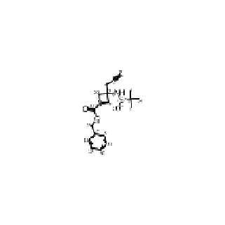 C#CCC1(N[S+]([O-])C(C)(C)C)CN(C(=O)OCc2ccccc2)C1